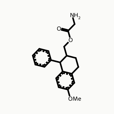 COc1ccc2c(c1)CCC(COC(=O)CN)C2c1ccccc1